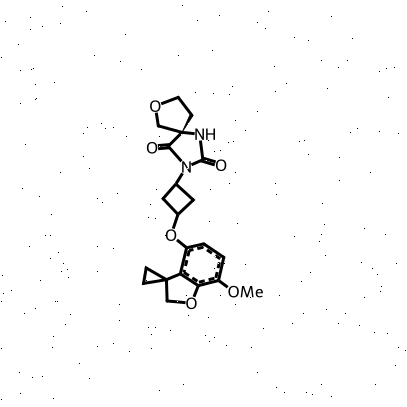 COc1ccc(OC2CC(N3C(=O)N[C@]4(CCOC4)C3=O)C2)c2c1OCC21CC1